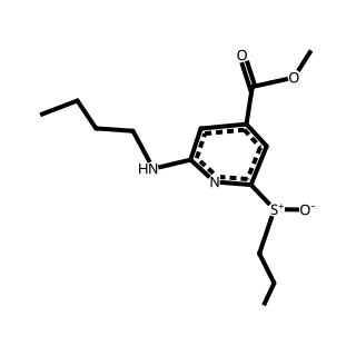 CCCCNc1cc(C(=O)OC)cc([S+]([O-])CCC)n1